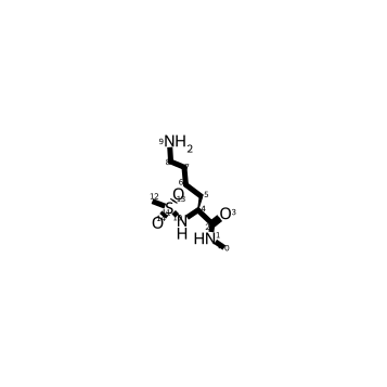 [CH2]NC(=O)[C@H](CCCCN)NS(C)(=O)=O